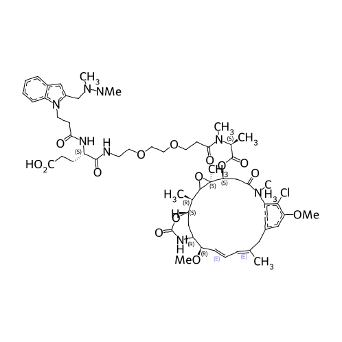 CNN(C)Cc1cc2ccccc2n1CCC(=O)N[C@@H](CCC(=O)O)C(=O)NCCOCCOCCC(=O)N(C)[C@@H](C)C(=O)O[C@H]1CC(=O)N(C)c2cc(cc(OC)c2Cl)C/C(C)=C/C=C/[C@@H](OC)[C@]2(I)C[C@H](OC(=O)N2)[C@@H](C)C2O[C@]21C